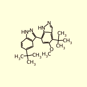 COc1cc(-c2n[nH]c3ccc(C(C)(C)C)cc23)c2[nH]ncc2c1C(C)(C)C